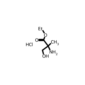 CCOC(=O)C(C)(N)CO.Cl